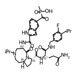 CC(C)c1ccc(CNC(=O)[C@H](CCC(N)=O)NC(=O)[C@@H]2CC[C@@H]3CCN(C(C)C)C[C@H](NC(=O)c4cc5cc(C(=O)P(C)(=O)O)ccc5[nH]4)C(=O)N32)cc1F